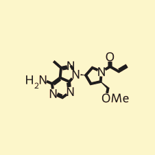 C=CC(=O)N1C[C@@H](n2nc(C)c3c(N)ncnc32)C[C@@H]1COC